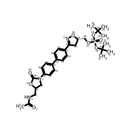 CC(=O)NCC1CN(c2ccc(-c3ccc(C4=NO[C@H](COP(=O)(OC(C)(C)C)OC(C)(C)C)C4)cc3)cc2)C(=O)O1